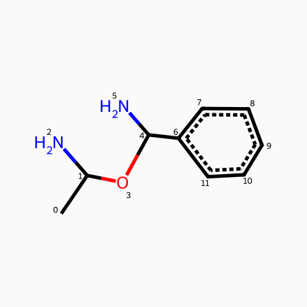 CC(N)OC(N)c1ccccc1